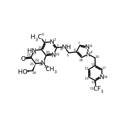 Cc1nc(NCc2cnn(Cc3ccc(C(F)(F)F)nc3)c2)nc2c1NC(=O)[C@H](CO)N2C